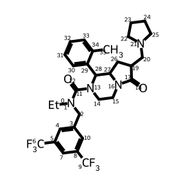 CCN(Cc1cc(C(F)(F)F)cc(C(F)(F)F)c1)C(=O)N1CCN2C(=O)C(CN3CCCC3)CC2C1c1ccccc1C